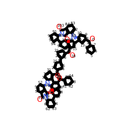 O=C(c1ccccc1)c1ccc2c(c1)c1cc(C(=O)c3cccc(-c4ccc(C(=O)c5cccc6c5c5c(C(=O)c7ccccc7)cccc5n6-c5cccc6c5C(=O)N(c5ccccc5-c5ccccc5)C6=O)cc4)c3)ccc1n2-c1cccc2c1C(=O)N(c1ccccc1-c1ccccc1)C2=O